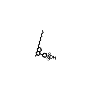 CCCCCCCCCc1ccc2c(-c3ccc(S(=O)(=O)O)cc3)cc(C)cc2c1